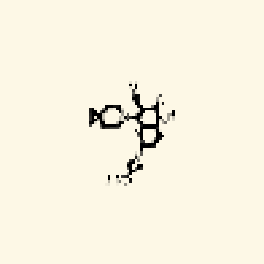 N#Cc1c(N2CCC3(CC2)CC3)c2nc(N3CC(O)C3)ccc2[nH]c1=O